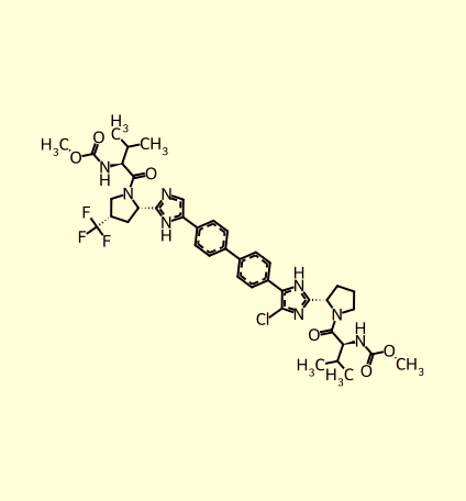 COC(=O)N[C@H](C(=O)N1C[C@@H](C(F)(F)F)C[C@H]1c1ncc(-c2ccc(-c3ccc(-c4[nH]c([C@@H]5CCCN5C(=O)[C@@H](NC(=O)OC)C(C)C)nc4Cl)cc3)cc2)[nH]1)C(C)C